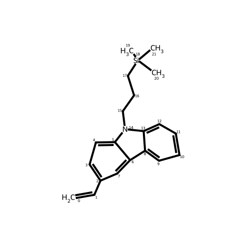 C=Cc1ccc2c(c1)c1ccccc1n2CCC[Si](C)(C)C